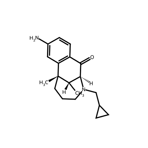 C[C@H]1[C@H]2C(=O)c3ccc(N)cc3[C@@]1(C)CCCN2CC1CC1